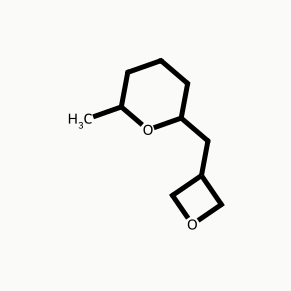 CC1CCCC(CC2COC2)O1